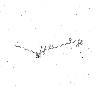 CCCCCCCCCCCC[C@H](O)[C@H]1CC[C@H]([C@H](O)CC(O)CCCCCCCCCC(=O)CCC2=C[C@H](C)OC2=O)O1